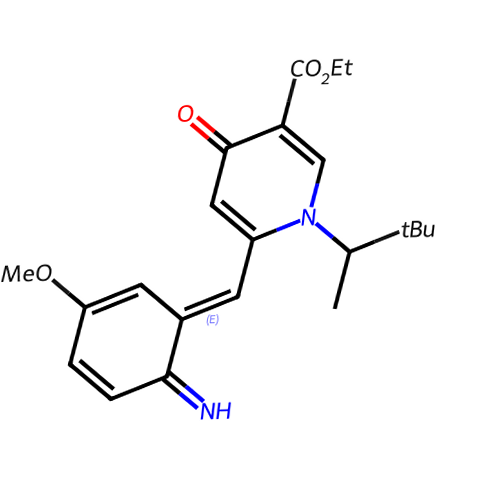 CCOC(=O)c1cn(C(C)C(C)(C)C)c(/C=C2\C=C(OC)C=CC2=N)cc1=O